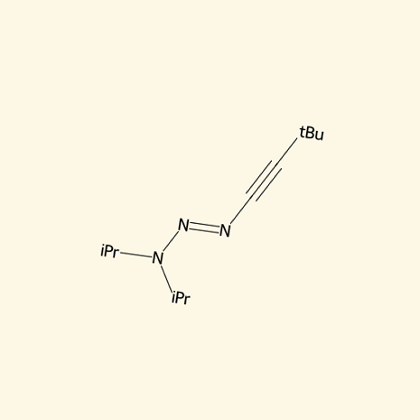 CC(C)N(N=NC#CC(C)(C)C)C(C)C